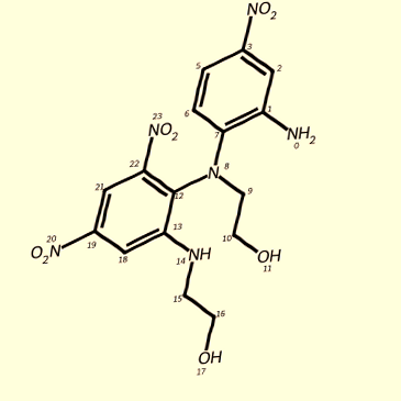 Nc1cc([N+](=O)[O-])ccc1N(CCO)c1c(NCCO)cc([N+](=O)[O-])cc1[N+](=O)[O-]